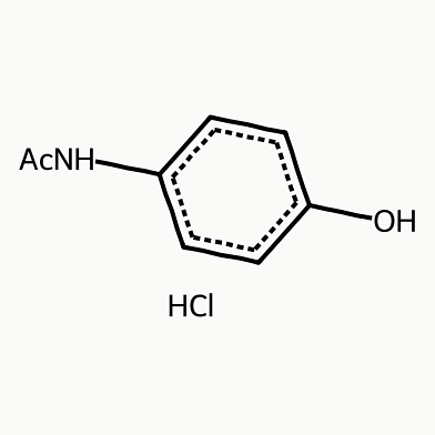 CC(=O)Nc1ccc(O)cc1.Cl